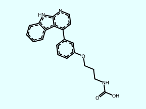 O=C(O)NCCCOc1cccc(-c2ccnc3[nH]c4ccccc4c23)c1